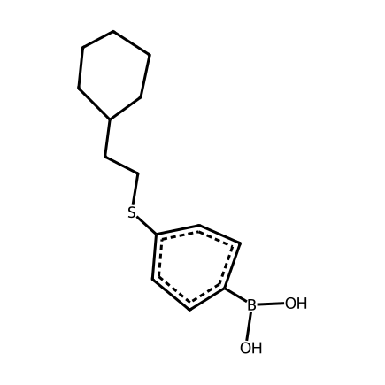 OB(O)c1ccc(SCCC2CCCCC2)cc1